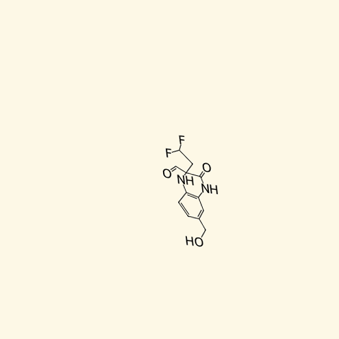 O=CC1(CC(F)F)Nc2ccc(CO)cc2NC1=O